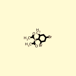 CC(=O)N(C(C)=O)C1C(C)CC(Br)CC1Br